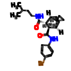 CC(C)CCNC(=O)[C@H]1[C@H](C(=O)Nc2ccc(Br)cc2)[C@@H]2C=C[C@H]1C21CC1